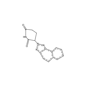 O=C1CCC(n2nc3ccc4ccccc4c3n2)C(=O)N1